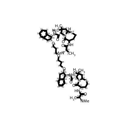 CN[C@@H](C)C(=O)NC1CCS[C@H]2CC(C)(C)[C@@H](C(=O)N[C@H]3c4ccccc4C[C@H]3OCCCOCCCO[C@@H]3Cc4ccccc4[C@@H]3NC(=O)[C@H]3N4C(=O)[C@@H](NC(=O)[C@H](C)NC)CCSC4CC3(C)C)N2C1=O